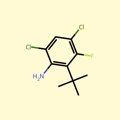 CC(C)(C)c1c(N)c(Cl)cc(Cl)c1F